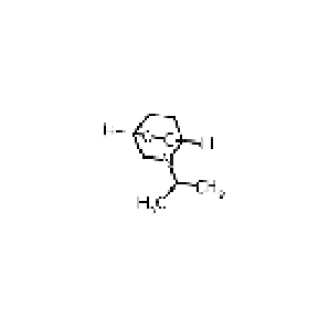 CC(C)N1C[C@H]2CC[C@@H]1CC2